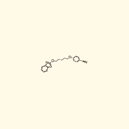 N#Cc1ccc(OCCCCCOc2nc3ccccc3s2)cc1